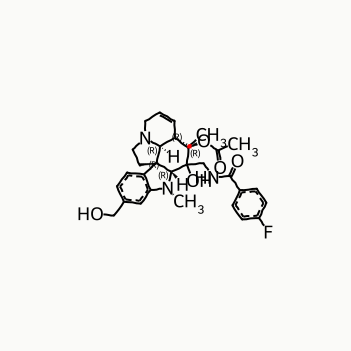 CC[C@]12C=CCN3CC[C@@]4(c5ccc(CO)cc5N(C)[C@H]4C(O)(CNC(=O)c4ccc(F)cc4)[C@@H]1OC(C)=O)[C@@H]32